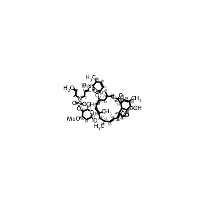 C=CCN(CC=C)S(=O)(=O)OC1[C@H](C)O[C@@H](O[C@@H]2/C(C)=C/C[C@@H]3C[C@@H](C[C@]4(C=C[C@H](C)[C@@H](C(C)CC)O4)O3)OC(=O)[C@@H]3C=C(C)[C@@H](O)C4OC/C(=C\C=C\[C@@H]2C)[C@]43O)C[C@@H]1OC